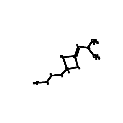 CC(C)C=C1CN(CCCF)C1